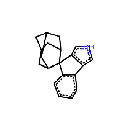 c1ccc2c(c1)-c1c[nH]cc1C21C2CC3CC(C2)CC1C3